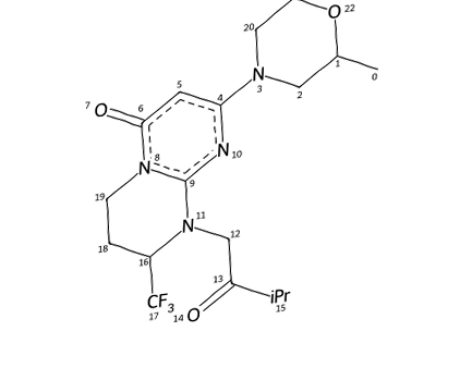 CC1CN(c2cc(=O)n3c(n2)N(CC(=O)C(C)C)C(C(F)(F)F)CC3)CCO1